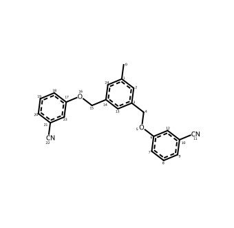 Cc1cc(COc2cccc(C#N)c2)cc(COc2cccc(C#N)c2)c1